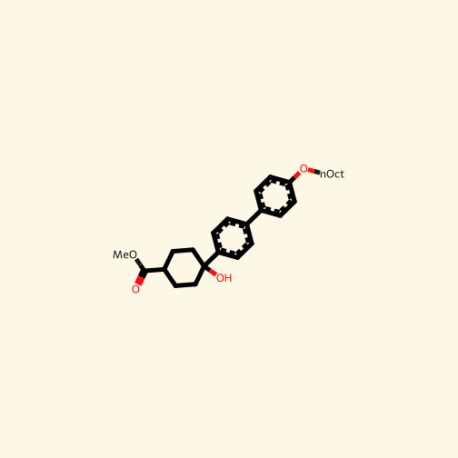 CCCCCCCCOc1ccc(-c2ccc(C3(O)CCC(C(=O)OC)CC3)cc2)cc1